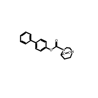 O=C(Oc1ccc(-c2ccccc2)cc1)N1CCN2CCC1CC2